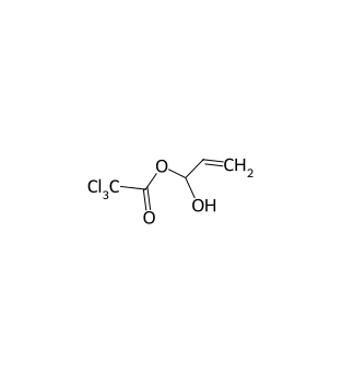 C=CC(O)OC(=O)C(Cl)(Cl)Cl